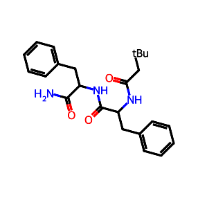 CC(C)(C)CC(=O)NC(Cc1ccccc1)C(=O)NC(Cc1ccccc1)C(N)=O